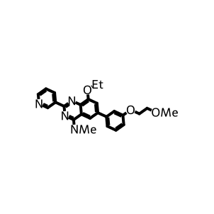 CCOc1cc(-c2cccc(OCCOC)c2)cc2c(NC)nc(-c3cccnc3)nc12